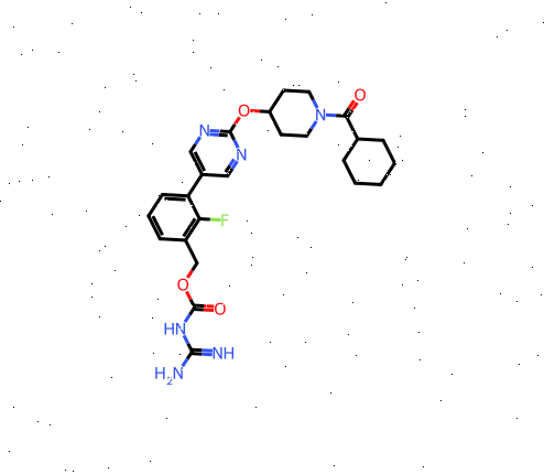 N=C(N)NC(=O)OCc1cccc(-c2cnc(OC3CCN(C(=O)C4CCCCC4)CC3)nc2)c1F